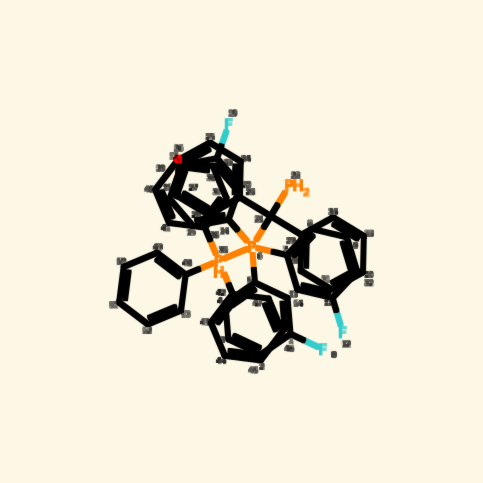 Fc1cccc(P(c2cccc(F)c2)(c2cccc(F)c2)(C(P)(c2ccccc2)c2ccccc2)[PH](c2ccccc2)(c2ccccc2)c2ccccc2)c1